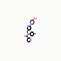 O=C(c1cccnc1)N(Cc1ccc(N2CCC(O)CC2)nc1)c1ccc(F)cc1